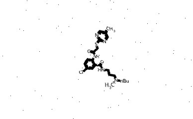 CCCCN(C)CCCNC(=O)c1cc(Cl)ccc1NC(=O)CSc1ncc(C)cn1